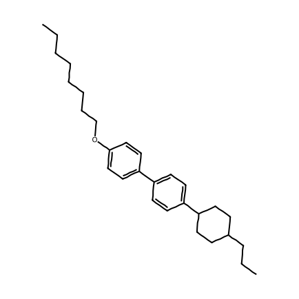 CCCCCCCCOc1ccc(-c2ccc(C3CCC(CCC)CC3)cc2)cc1